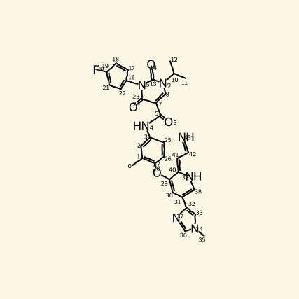 Cc1cc(NC(=O)c2cn(C(C)C)c(=O)n(-c3ccc(F)cc3)c2=O)ccc1OC1=CC(c2cn(C)cn2)=CN/C1=C\C=N